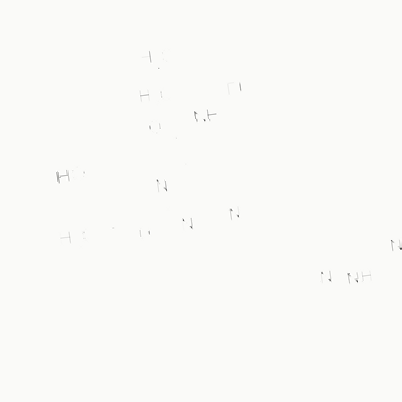 C=CC(C)(CC)NC(=O)c1cc(N2CCC(c3n[nH]c4ncccc34)CC2)nc(O[C@H](C)CO)n1